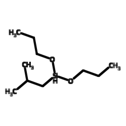 CCCO[SiH](CC(C)C)OCCC